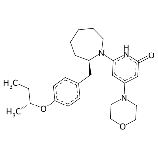 CC[C@@H](C)Oc1ccc(C[C@H]2CCCCCN2c2cc(N3CCOCC3)cc(=O)[nH]2)cc1